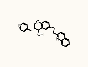 O[C@@H]1c2cc(OCc3ccc4ccccc4n3)ccc2OC[C@H]1Cc1ccncc1